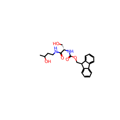 CC(O)CCNC(=O)[C@H](CO)NC(=O)OCC1c2ccccc2-c2ccccc21